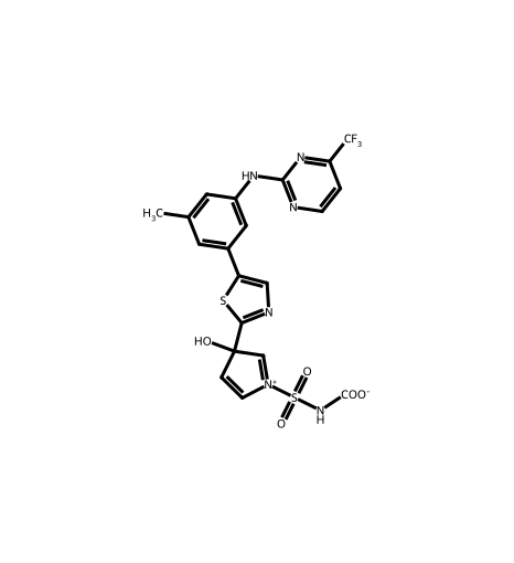 Cc1cc(Nc2nccc(C(F)(F)F)n2)cc(-c2cnc(C3(O)C=C[N+](S(=O)(=O)NC(=O)[O-])=C3)s2)c1